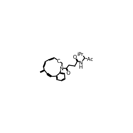 C=C1C#Cc2ccccc2N(C(=O)CCC(=O)N[C@H](C(C)=O)C(C)C)CC/C=C\C=C/1